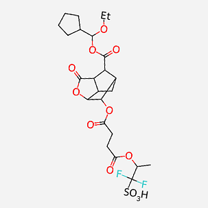 CCOC(OC(=O)C1C2CC3C(OC(=O)C31)C2OC(=O)CCC(=O)OC(C)C(F)(F)S(=O)(=O)O)C1CCCC1